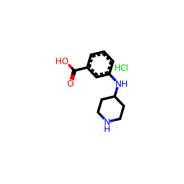 Cl.O=C(O)c1cccc(NC2CCNCC2)c1